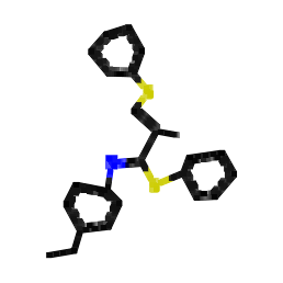 CCc1ccc(N=C(Sc2ccccc2)C(C)=CSc2ccccc2)cc1